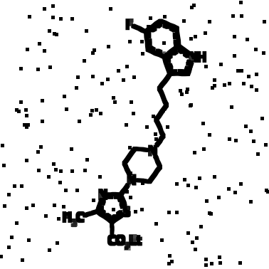 CCOC(=O)c1sc(N2CCN(CCCCc3c[nH]c4ccc(F)cc34)CC2)nc1C